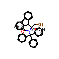 COC(=O)N(C(c1ccccc1)(c1ccccc1)c1ccccc1)[C@@](CS)(C(=O)O)C1c2ccccc2-c2ccccc21